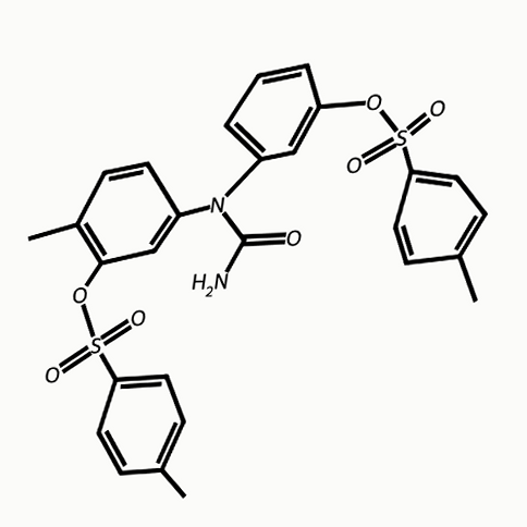 Cc1ccc(S(=O)(=O)Oc2cccc(N(C(N)=O)c3ccc(C)c(OS(=O)(=O)c4ccc(C)cc4)c3)c2)cc1